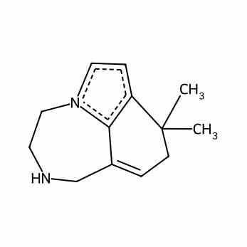 CC1(C)CC=C2CNCCn3ccc1c32